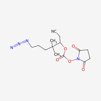 CC(C)(CCCN=[N+]=[N-])C(CC#N)OC(=O)ON1C(=O)CCC1=O